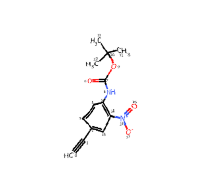 C#Cc1ccc(NC(=O)OC(C)(C)C)c([N+](=O)[O-])c1